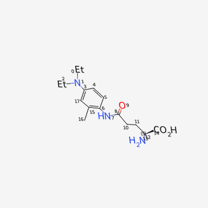 CCN(CC)c1ccc(NC(=O)CC[C@H](N)C(=O)O)c(C)c1